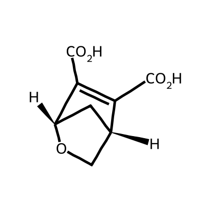 O=C(O)C1=C(C(=O)O)[C@@H]2C[C@H]1CO2